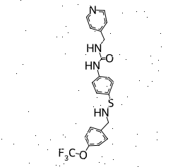 O=C(NCc1ccncc1)Nc1ccc(SNCc2ccc(OC(F)(F)F)cc2)cc1